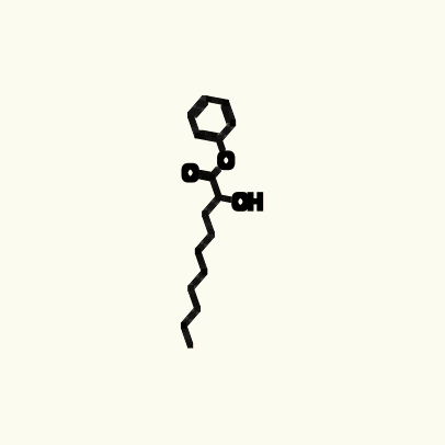 CCCCCCCCC(O)C(=O)Oc1ccccc1